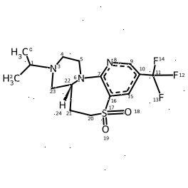 CC(C)N1CCN2c3ncc(C(F)(F)F)cc3S(=O)(=O)CC[C@@H]2C1